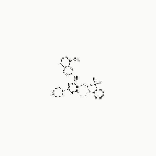 CN1CCCc2ccc(Nc3nc(N4CCOCC4)nc4c3CCN(c3ncccc3C(F)(F)F)CC4)cc21